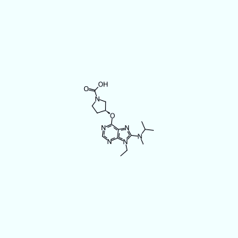 CCn1c(N(C)C(C)C)nc2c(O[C@H]3CCN(C(=O)O)C3)ncnc21